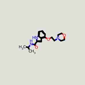 CC(C)NC(=O)c1cc2c(OCCN3CCOCC3)cccc2[nH]1